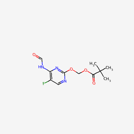 CC(C)(C)C(=O)OCOc1ncc(F)c(NC=O)n1